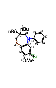 CCCCC1(CCCC)CSc2cc(OC)c(Br)cc2N(c2ccccc2)C1